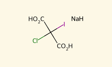 O=C(O)C(Cl)(I)C(=O)O.[NaH]